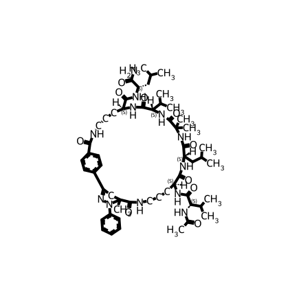 CC(=O)N[C@H](C(=O)N[C@H]1CCCNC(=O)C2(C)CC(=NN2c2ccccc2)c2ccc(cc2)C(=O)NCCC[C@@H](C(=O)N[C@@H](CC(C)C)C(N)=O)NC(=O)[C@H](C(C)C)NC(=O)C(C)(C)NC(=O)[C@H](CC(C)C)NC1=O)C(C)C